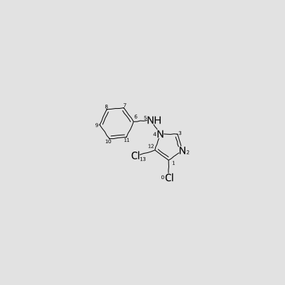 Clc1ncn(Nc2ccccc2)c1Cl